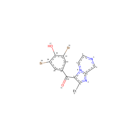 CCc1nc2cnccn2c1C(=O)c1cc(Br)c(O)c(Br)c1